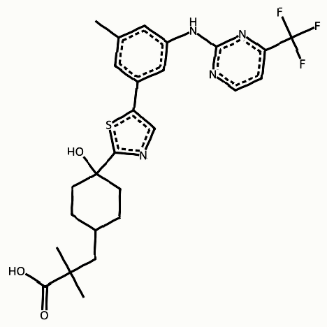 Cc1cc(Nc2nccc(C(F)(F)F)n2)cc(-c2cnc(C3(O)CCC(CC(C)(C)C(=O)O)CC3)s2)c1